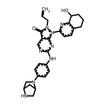 C=CCn1c(=O)c2cnc(Nc3ccc(N4CC5CC4CN5)cc3)nc2n1-c1ccc2c(n1)C(O)CCC2